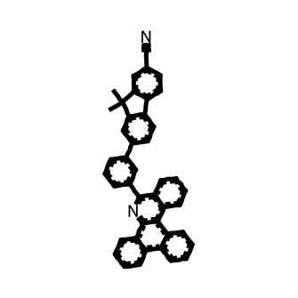 CC1(C)c2cc(C#N)ccc2-c2ccc(-c3cccc(-c4nc5c6ccccc6c6ccccc6c5c5ccccc45)c3)cc21